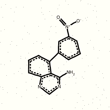 Nc1ncnc2cccc(-c3cccc([N+](=O)[O-])c3)c12